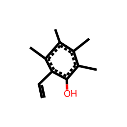 C=Cc1c(C)c(C)c(C)c(C)c1O